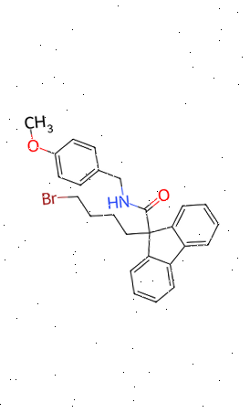 COc1ccc(CNC(=O)C2(CCCCBr)c3ccccc3-c3ccccc32)cc1